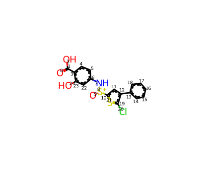 O=C(O)c1ccc(N[S+]([O-])c2cc(-c3ccccc3)c(Cl)s2)cc1O